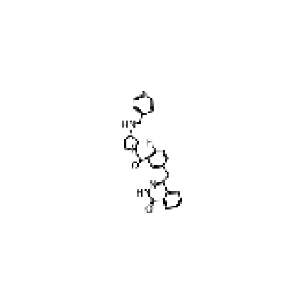 O=C(c1cc(Cc2n[nH]c(=O)c3ccccc23)ccc1F)N1CC[C@H](NCc2ccncc2)C1